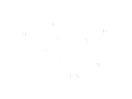 CC(C)(C)OC(=O)c1nc(Br)cnc1N